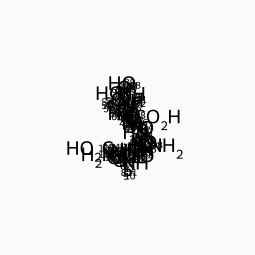 CC(C)C(NC(=O)[C@H](Cc1ccccc1)NC(=O)CSC[C@H](NC(=O)[C@@H]1CCCN1C(=O)[C@H](C)NC(=O)[C@H](CCC(=O)O)NC(=O)[C@H](C)N(C)C(=O)[C@H](Cc1ccc(-c2ccccc2)cc1)NC(=O)[C@H](Cc1ccccc1)N(C)C(=O)[C@H](C)NC(=O)[C@@H](NC(=O)C[C@@H](C)O)[C@@H](C)O)C(=O)NCC(N)=O)C(=O)N[C@@H](CC(=O)O)C(N)=O